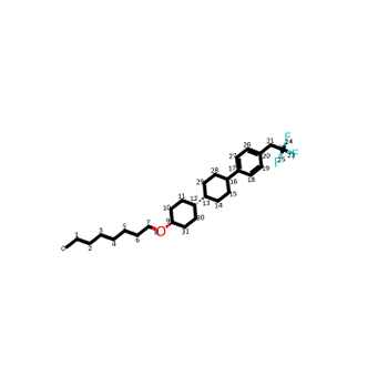 CCCCCCCCO[C@H]1CC[C@H](C2CCC(c3ccc(CC(F)(F)F)cc3)CC2)CC1